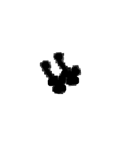 COCOc1c(-c2cccc(C)c2)cc(C(=O)NCCCCCCCc2ccccc2)cc1-c1cccc(C)c1.COCOc1c(-c2cccc(C)c2)cc(C(=O)NCCCCCCCc2ccccc2)cc1-c1cccc(C)c1